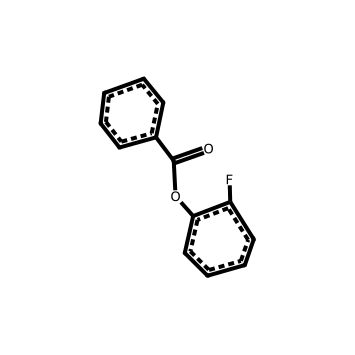 O=C(Oc1ccccc1F)c1ccccc1